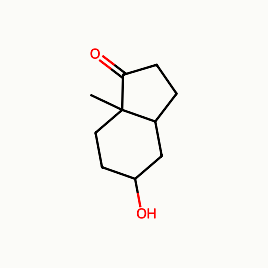 CC12CCC(O)CC1CCC2=O